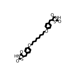 O=C1NC(=O)C(Cc2ccc(OCCCCCCCCOc3ccc(CC4SC(=O)NC4=O)cc3)cc2)S1